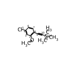 COc1cc(Cl)ccc1C#C[Si](C)(C)C